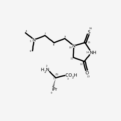 CC(C)[C@H](N)C(=O)O.CN(C)CCCN1CC(=O)NC1=S